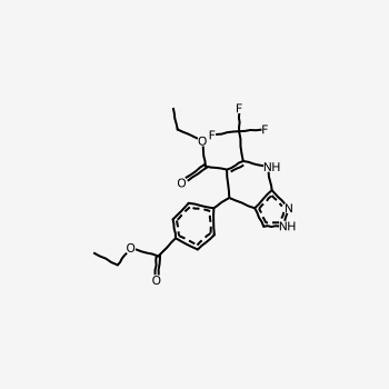 CCOC(=O)C1=C(C(F)(F)F)Nc2n[nH]cc2C1c1ccc(C(=O)OCC)cc1